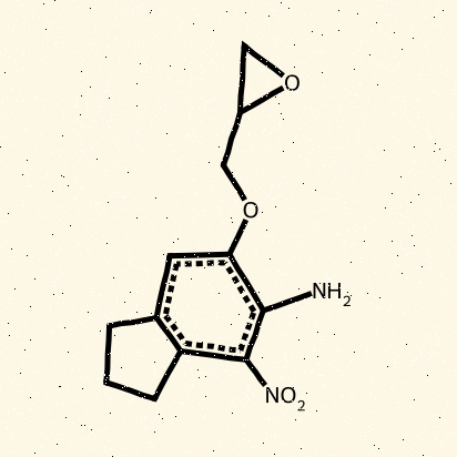 Nc1c(OCC2CO2)cc2c(c1[N+](=O)[O-])CCC2